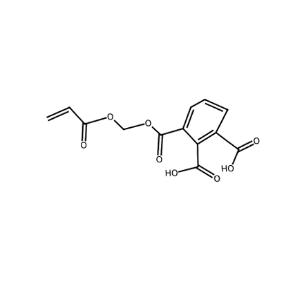 C=CC(=O)OCOC(=O)c1cccc(C(=O)O)c1C(=O)O